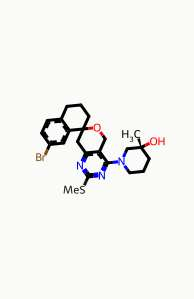 CSc1nc2c(c(N3CCC[C@@](C)(O)C3)n1)COC1(CCCc3ccc(Br)cc31)C2